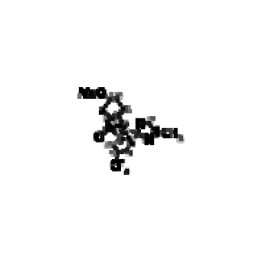 COc1ccc(CC2(C(N)=O)CC(C(F)(F)F)CN2c2ncn(C)n2)cc1